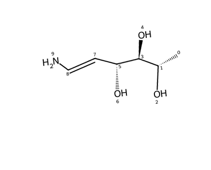 C[C@H](O)[C@H](O)[C@H](O)C=CN